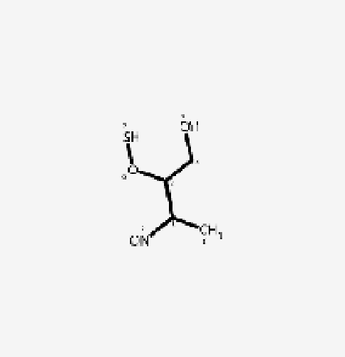 CC(N=O)C(CO)OS